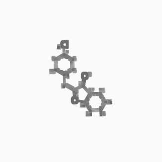 O=C1C(=Cc2ccc(Cl)cc2)Oc2ccccc21